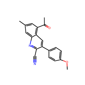 COc1ccc(-c2cc3c(C(C)=O)cc(C)cc3nc2C#N)cc1